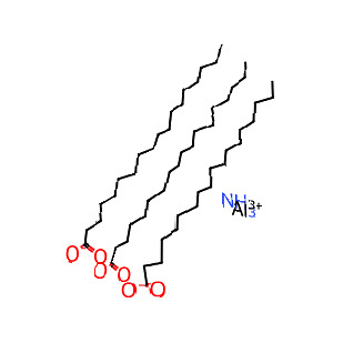 CCCCCCCCCCCCCCCCCC(=O)[O-].CCCCCCCCCCCCCCCCCC(=O)[O-].CCCCCCCCCCCCCCCCCC(=O)[O-].N.[Al+3]